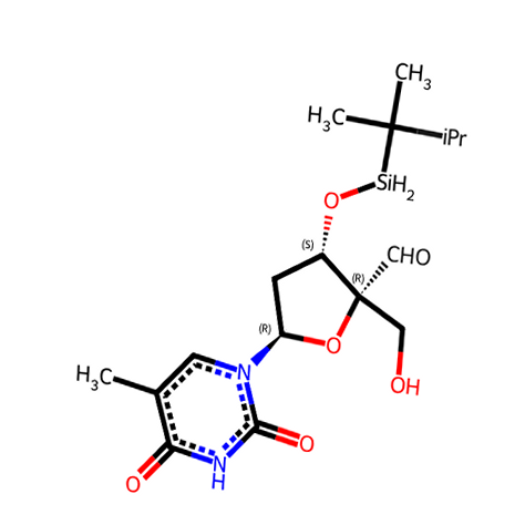 Cc1cn([C@H]2C[C@H](O[SiH2]C(C)(C)C(C)C)[C@@](C=O)(CO)O2)c(=O)[nH]c1=O